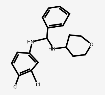 Clc1ccc(NC(NC2CCOCC2)c2ccccc2)cc1Cl